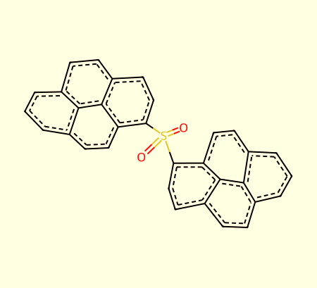 O=S(=O)(c1ccc2ccc3cccc4ccc1c2c34)c1ccc2ccc3cccc4ccc1c2c34